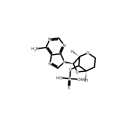 CC[C@@]12CCO[C@@H](C1OP(O)(=S)OC)[C@H](n1cnc3c(N)ncnc31)O2